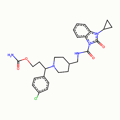 NC(=O)OCCC(c1ccc(Cl)cc1)N1CCC(CNC(=O)n2c(=O)n(C3CC3)c3ccccc32)CC1